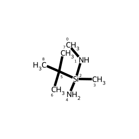 CN[Si](C)(N)C(C)(C)C